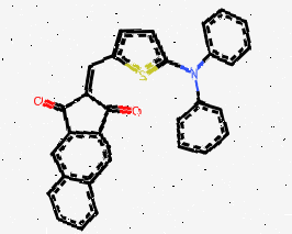 O=C1C(=Cc2ccc(N(c3ccccc3)c3ccccc3)s2)C(=O)c2cc3ccccc3cc21